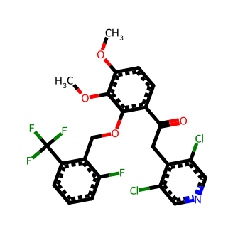 COc1ccc(C(=O)Cc2c(Cl)cncc2Cl)c(OCc2c(F)cccc2C(F)(F)F)c1OC